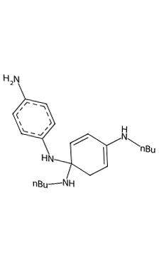 CCCCNC1=CCC(NCCCC)(Nc2ccc(N)cc2)C=C1